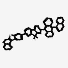 CC1(C)c2cc(-c3ccc4c(c3)oc3ccc5ccccc5c34)ccc2-c2ccc(-c3c4ccccc4c(-c4cccc5ccccc45)c4ccccc34)cc21